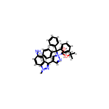 Cn1nc(C2=C[N+](C(=O)OC(C)(C)C)(C(c3ccccc3)(c3ccccc3)c3ccccc3)N=C2)c2cc(N)ccc21